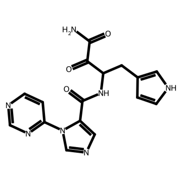 NC(=O)C(=O)C(Cc1cc[nH]c1)NC(=O)c1cncn1-c1ccncn1